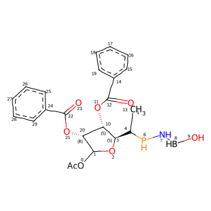 CC(=O)OC1O[C@H](C(C)PNBO)[C@@H](OC(=O)c2ccccc2)[C@H]1OC(=O)c1ccccc1